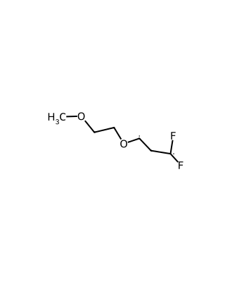 COCCO[CH]C[C](F)F